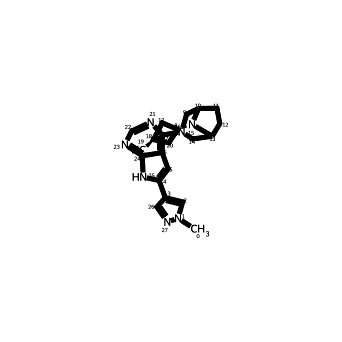 Cn1cc(-c2cc3c(N4CC5CCC(C4)N5[C@H]4C[C@H](C#N)C4)ncnc3[nH]2)cn1